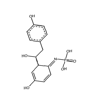 O=P(O)(O)N=C1C=CC(O)=CC1C(O)Cc1ccc(O)cc1